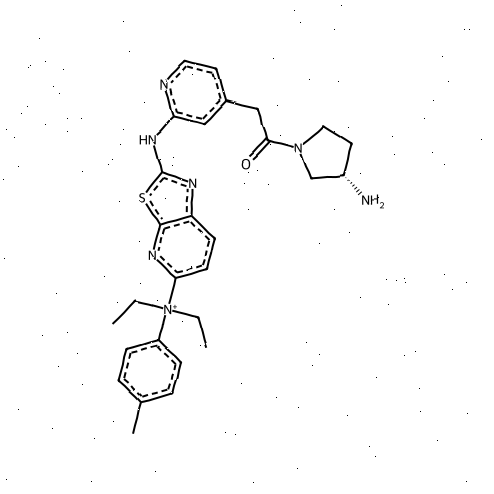 CC[N+](CC)(c1ccc(C)cc1)c1ccc2nc(Nc3cc(CC(=O)N4CC[C@H](N)C4)ccn3)sc2n1